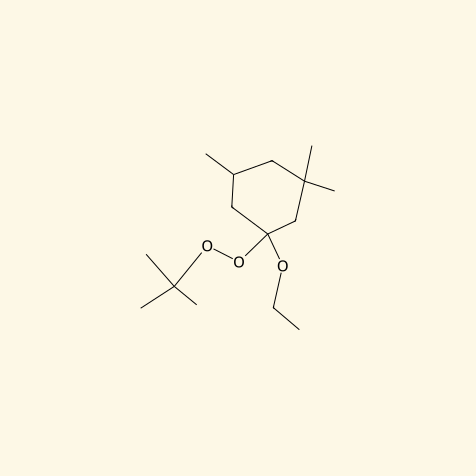 CCOC1(OOC(C)(C)C)CC(C)CC(C)(C)C1